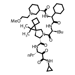 CCC[C@H](NC(=O)[C@@H]1C[C@@]2(CN1C(=O)[C@@H](NC(=O)[C@@H](NC(=O)[C@@H]1CCCN(CCOC)C1)C1CCCCC1)C(C)(C)C)C(C)(C)C21CCC1)C(=O)C(=O)NC1CC1